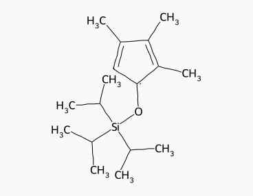 CC1=C[C](O[Si](C(C)C)(C(C)C)C(C)C)C(C)=C1C